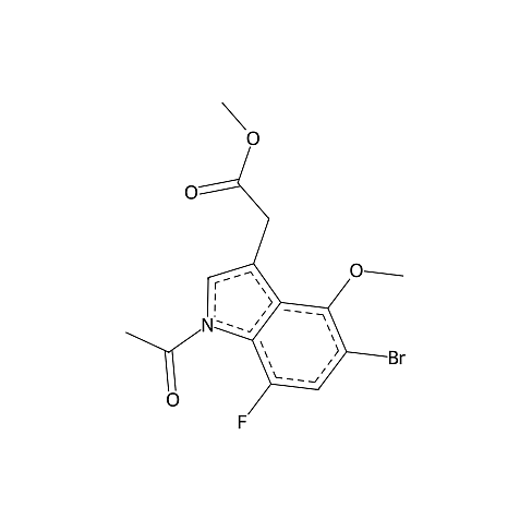 COC(=O)Cc1cn(C(C)=O)c2c(F)cc(Br)c(OC)c12